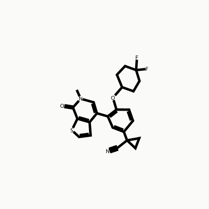 Cn1cc(-c2cc(C3(C#N)CC3)ccc2OC2CCC(F)(F)CC2)c2ccsc2c1=O